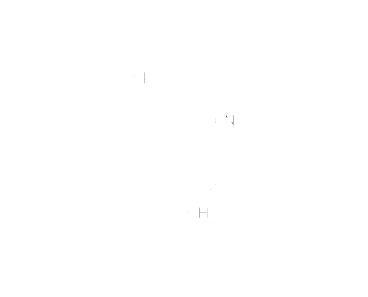 C=C(O[C@H]1C[C@](C#N)(c2ccc(Cl)cc2)C1)c1ccccc1